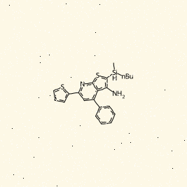 CCCC[SiH](C)c1sc2nc(-c3cccs3)cc(-c3ccccc3)c2c1N